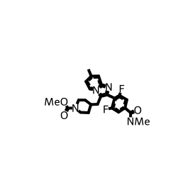 CNC(=O)c1cc(F)c(-c2nc3cc(C)ccn3c2CC2CCN(C(=O)OC)CC2)c(F)c1